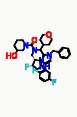 O=C(N1CCCC(O)C1)N(C[C@@H]1CNC[C@@H]1F)C(c1nc(-c2cc(F)ccc2F)cn1Cc1ccccc1)C1CCOCC1